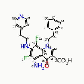 Nc1c(F)c(NCCc2ccncc2)c(F)c2c1c(=O)c(C(=O)O)cn2CCc1ccccc1